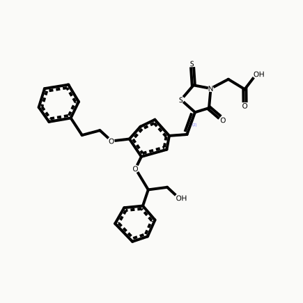 O=C(O)CN1C(=O)/C(=C/c2ccc(OCCc3ccccc3)c(OC(CO)c3ccccc3)c2)SC1=S